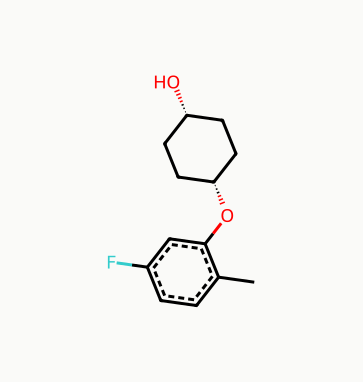 Cc1ccc(F)cc1O[C@H]1CC[C@@H](O)CC1